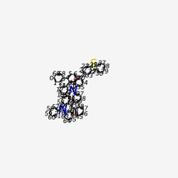 c1ccc(-c2ccccc2-c2ccccc2N(c2ccc(-c3ccc4sc5ccccc5c4c3)cc2)c2ccc3c(c2)C2(c4ccccc4-3)c3ccccc3N(c3ccccc3)c3ccccc32)cc1